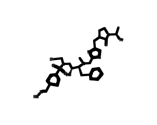 CC(C)CN(C[C@@H](O)[C@H](Cc1ccccc1)N(C)Cc1nc(CN2CCN([C@@H](C)C(C)C)C2=O)cs1)S(=O)(=O)c1ccc(/C=N/O)cc1